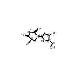 O=C1NC(=O)N([C@H]2C[C@@H](O)[C@@H](CO)O2)CC1F